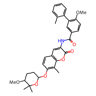 COc1ccc(C(=O)Nc2cc3ccc(OC4CCC(OC)C(C)(C)O4)c(C)c3oc2=O)cc1-c1ccccc1C